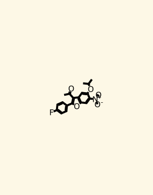 CC(=O)c1c(-c2ccc(F)cc2)oc2cc([N+](=O)[O-])c(OC(C)C)cc12